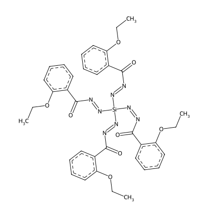 CCOc1ccccc1C(=O)N=N[Si](N=NC(=O)c1ccccc1OCC)(N=NC(=O)c1ccccc1OCC)N=NC(=O)c1ccccc1OCC